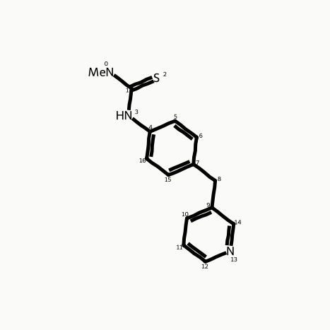 CNC(=S)Nc1ccc(Cc2cccnc2)cc1